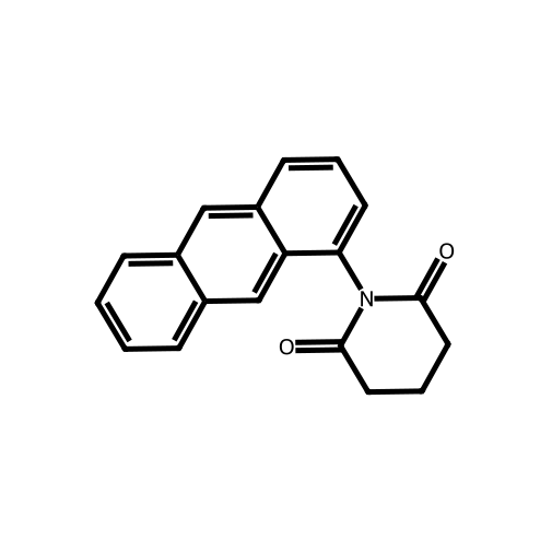 O=C1CCCC(=O)N1c1cccc2cc3ccccc3cc12